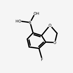 OB(O)c1ccc(F)c2c1OCO2